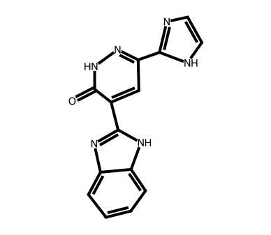 O=c1[nH]nc(-c2ncc[nH]2)cc1-c1nc2ccccc2[nH]1